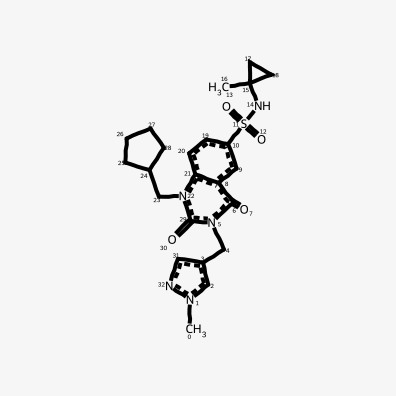 Cn1cc(Cn2c(=O)c3cc(S(=O)(=O)NC4(C)CC4)ccc3n(CC3CCCC3)c2=O)cn1